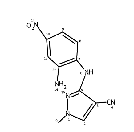 Cn1cc(C#N)c(Nc2ccc([N+](=O)[O-])cc2N)n1